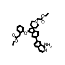 CCOC(=O)Cc1ccccc1O[C@@H]1CC2(CCN(CC(=O)OCC)CC2)c2ccc(-c3ccc4ccnc(N)c4c3)cc21